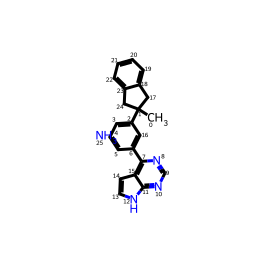 CC1(c2cccc(-c3ncnc4[nH]ccc34)c2)Cc2ccccc2C1.N